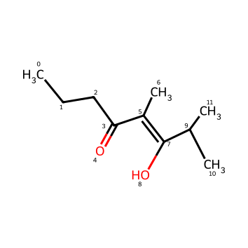 CCCC(=O)/C(C)=C(\O)C(C)C